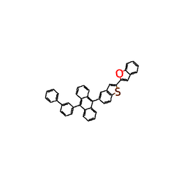 c1ccc(-c2cccc(-c3c4ccccc4c(-c4ccc5sc(-c6cc7ccccc7o6)cc5c4)c4ccccc34)c2)cc1